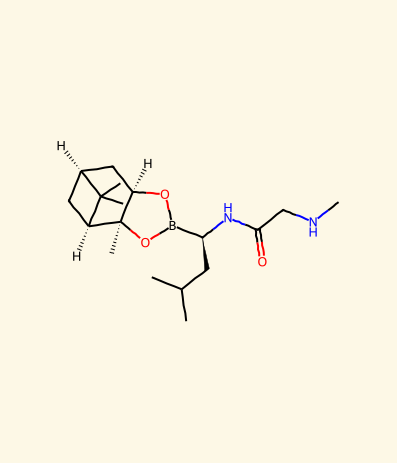 CNCC(=O)N[C@@H](CC(C)C)B1O[C@@H]2C[C@@H]3C[C@@H](C3(C)C)[C@]2(C)O1